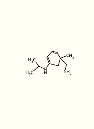 CC(C)NC1=CC=CC(C)(CN)C1